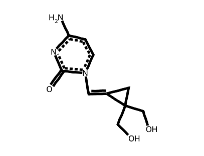 Nc1ccn(C=C2CC2(CO)CO)c(=O)n1